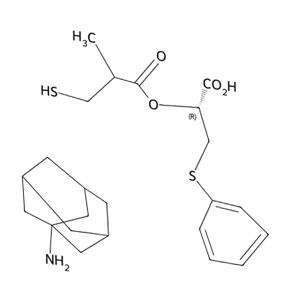 CC(CS)C(=O)O[C@@H](CSc1ccccc1)C(=O)O.NC12CC3CC(CC(C3)C1)C2